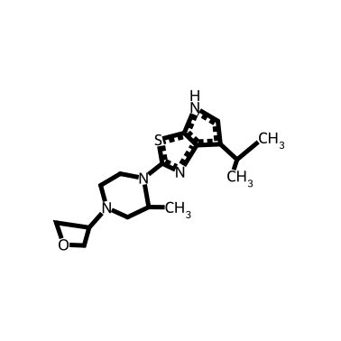 CC(C)c1c[nH]c2sc(N3CCN(C4COC4)CC3C)nc12